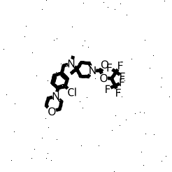 CN(Cc1ccc(N2CCOCC2)c(Cl)c1)C1(C)CCN(C(=O)OC(C(F)(F)F)C(F)(F)F)CC1